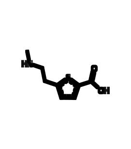 CNCCc1ccc(C(=O)O)s1